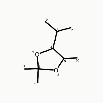 CC(C)C1OC(C)(C)OC1C